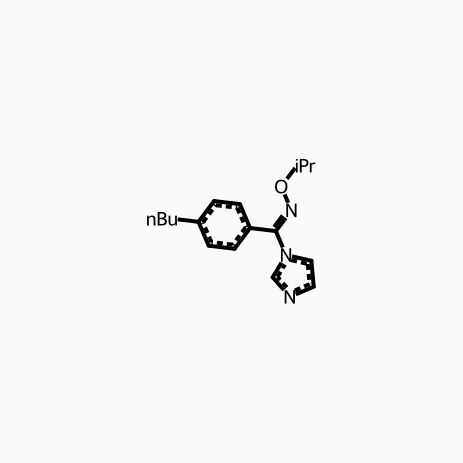 CCCCc1ccc(/C(=N\OC(C)C)n2ccnc2)cc1